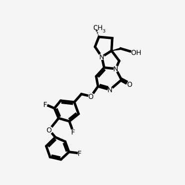 C[C@H]1CN2c3cc(OCc4cc(F)c(Oc5cccc(F)c5)c(F)c4)nc(=O)n3C[C@@]2(CO)C1